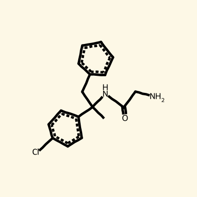 CC(Cc1ccccc1)(NC(=O)CN)c1ccc(Cl)cc1